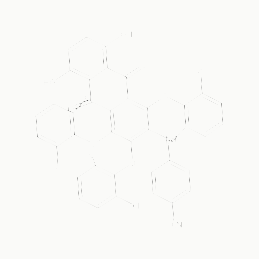 N#Cc1ccc(Nc2c(Oc3c(Cl)cccc3Cl)c(Oc3c(Cl)cccc3Cl)c3c(c2Oc2c(Cl)cccc2Cl)C(=O)c2c(O)ccc(O)c2C3=O)cc1